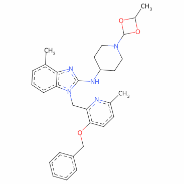 Cc1ccc(OCc2ccccc2)c(Cn2c(NC3CCN(C4OC(C)O4)CC3)nc3c(C)cccc32)n1